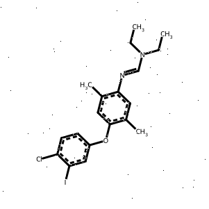 CCN(C=Nc1cc(C)c(Oc2ccc(Cl)c(I)c2)cc1C)CC